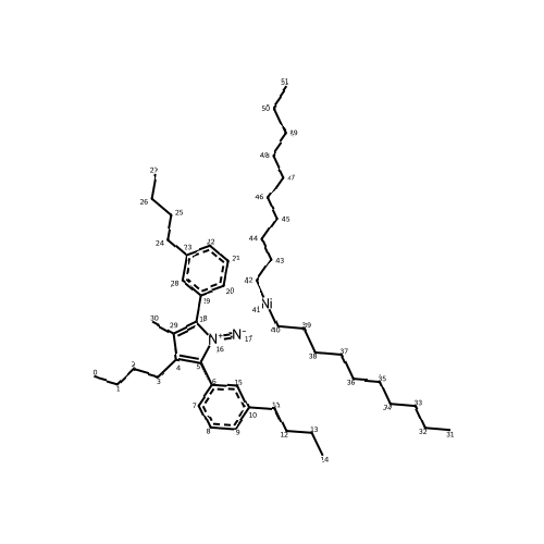 CCCCC1=C(c2cccc(CCCC)c2)[N+](=[N-])C(c2cccc(CCCC)c2)=C1C.CCCCCCCCC[CH2][Ni][CH2]CCCCCCCCC